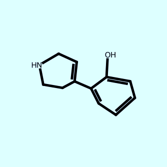 Oc1ccccc1C1=CCNCC1